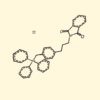 O=C1c2ccccc2C(=O)N1CCCc1ccc(C[P+](c2ccccc2)(c2ccccc2)c2ccccc2)cc1.[Cl-]